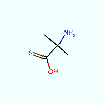 CC(C)(N)C(O)=S